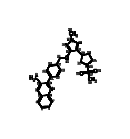 Cc1cc2ccccc2nc1-c1ccc(COc2nn(C)cc2C2CCN(S(C)(=O)=O)C2)cc1